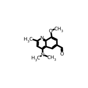 COc1cc(C=O)cc2c(N(C)C)cc(C)nc12